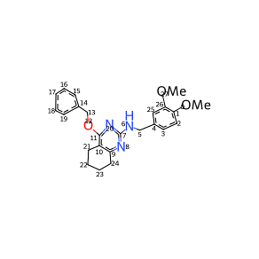 COc1ccc(CNc2nc3c(c(OCc4ccccc4)n2)CCCC3)cc1OC